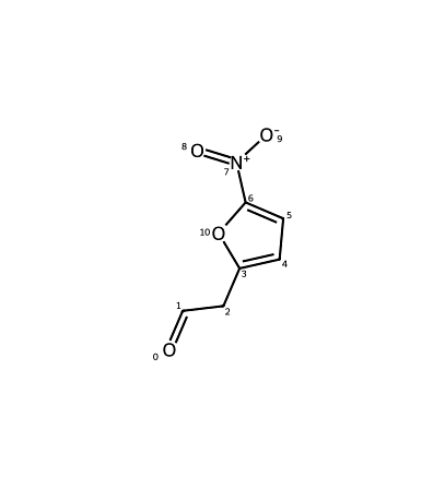 O=CCc1ccc([N+](=O)[O-])o1